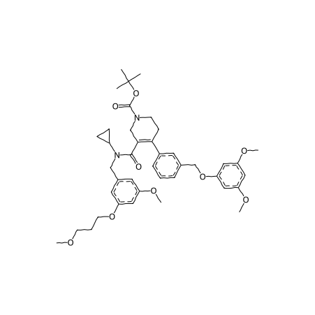 COCCCOc1cc(CN(C(=O)C2=C(c3cccc(COc4cc(OC)cc(OC)c4)c3)CCN(C(=O)OC(C)(C)C)C2)C2CC2)cc(OC)c1